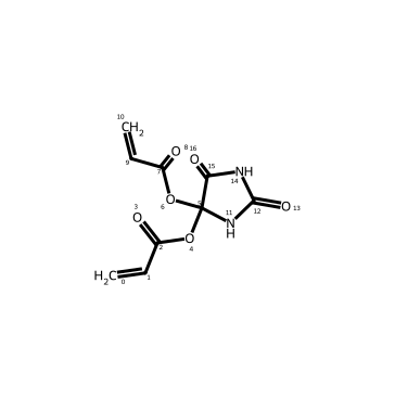 C=CC(=O)OC1(OC(=O)C=C)NC(=O)NC1=O